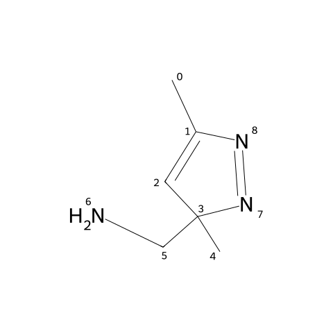 CC1=CC(C)(CN)N=N1